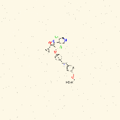 O=C(O)COCc1ccc(/C=C/C23CCC(OCc4c(-c5c(Cl)cncc5Cl)noc4C4CC4)(CC2)CC3)cc1